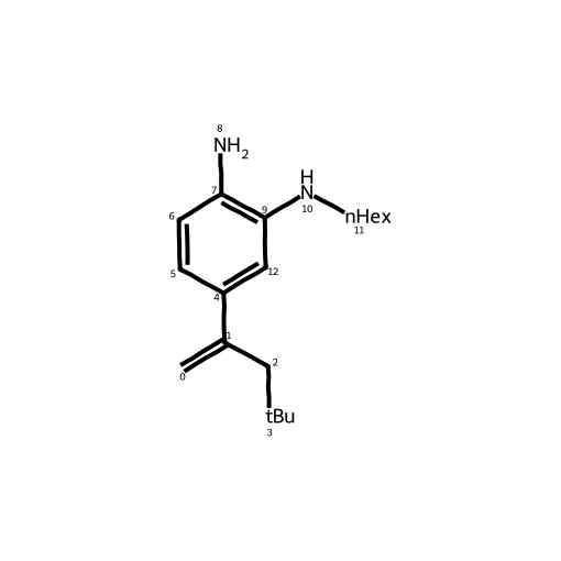 C=C(CC(C)(C)C)c1ccc(N)c(NCCCCCC)c1